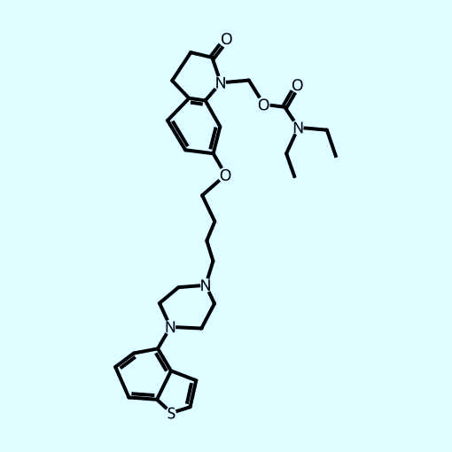 CCN(CC)C(=O)OCN1C(=O)CCc2ccc(OCCCCN3CCN(c4cccc5sccc45)CC3)cc21